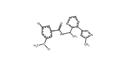 CC(NC(=O)c1cc(Cl)cc([S+](C)[O-])c1)c1nccnc1-c1cn(C)nn1